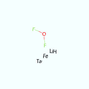 FOF.[Fe].[LiH].[Ta]